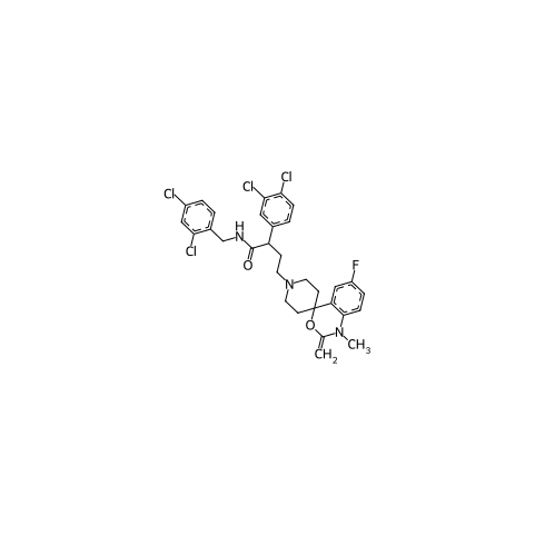 C=C1OC2(CCN(CCC(C(=O)NCc3ccc(Cl)cc3Cl)c3ccc(Cl)c(Cl)c3)CC2)c2cc(F)ccc2N1C